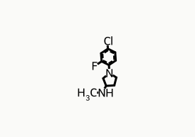 CNC1CCN(c2ccc(Cl)cc2F)C1